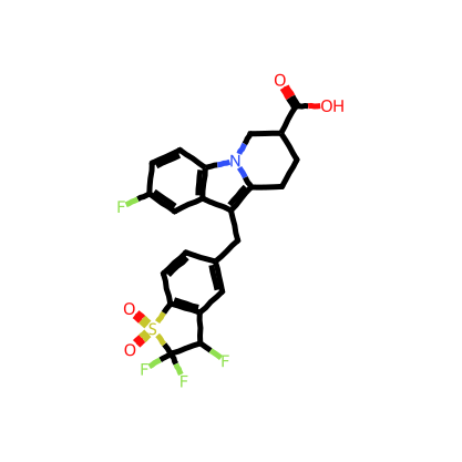 O=C(O)C1CCc2c(Cc3ccc4c(c3)C(F)C(F)(F)S4(=O)=O)c3cc(F)ccc3n2C1